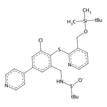 CC(C)(C)[S+]([O-])NCc1cc(-c2ccncc2)cc(Cl)c1Sc1ncccc1CO[Si](C)(C)C(C)(C)C